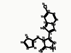 S=c1[nH]nc(-c2cn3ccc(Cl)cc3n2)n1Cc1cccs1